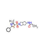 C=CC(=O)NC1CC2CN(S(=O)(=O)c3sc(-c4ccccc4)nc3C)CC2C1